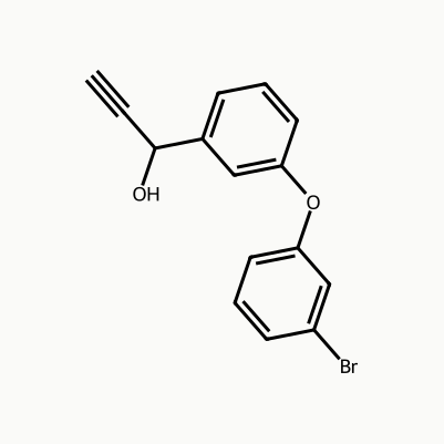 C#CC(O)c1cccc(Oc2cccc(Br)c2)c1